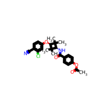 CC(=O)Oc1ccc(C(=O)N[C@H]2C(C)(C)[C@H](Oc3ccc(C#N)c(Cl)c3)C2(C)C)cc1